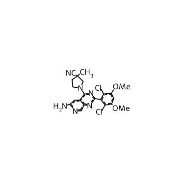 COc1cc(OC)c(Cl)c(-c2nc(N3CCC(C)(C#N)C3)c3cc(N)ncc3n2)c1Cl